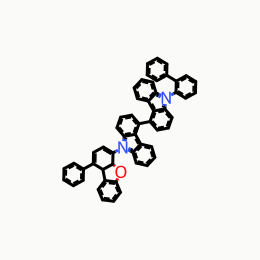 C1=C(c2ccccc2)C2c3ccccc3OC2C(n2c3ccccc3c3c(-c4cccc5c4c4ccccc4n5-c4ccccc4-c4ccccc4)cccc32)=C1